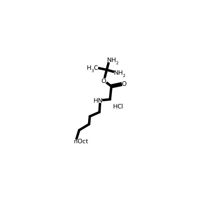 CCCCCCCCCCCCNCC(=O)OC(C)(N)N.Cl